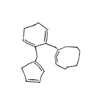 [C]1=C(C2=CCCCC2)C(C2=CC=CC2)=CCC1